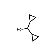 O[C](C1CC1)C1CC1